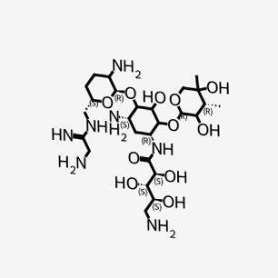 C[C@@H]1C(O)[C@@H](OC2C(O)C(O[C@H]3O[C@H](CNC(=N)CN)CCC3N)[C@@H](N)C[C@H]2NC(=O)[C@@H](O)[C@@H](O)[C@@H](O)CN)OCC1(C)O